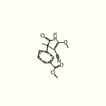 COC(=O)c1cccc(C2(C)C(=O)NC(OC)=C2C#N)c1